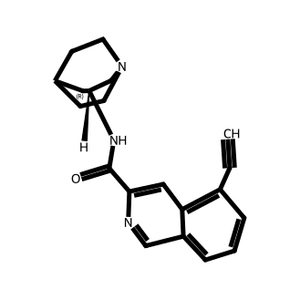 C#Cc1cccc2cnc(C(=O)N[C@@H]3CC4CCN(CC4)C3)cc12